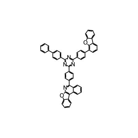 c1ccc(-c2ccc(-c3nc(-c4ccc(-c5nc6oc7ccccc7c6c6ccccc56)cc4)nc(-c4ccc(-c5cccc6c5oc5ccccc56)cc4)n3)cc2)cc1